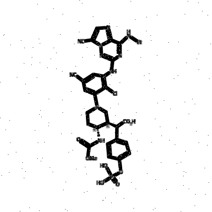 CCNc1nc(Nc2cc(C#N)cc(N3CC[C@@H](NC(=O)OC)[C@H](C(C(=O)O)c4ccc(OP(=O)(O)O)cc4)C3)c2Cl)nn2c(C#N)cnc12